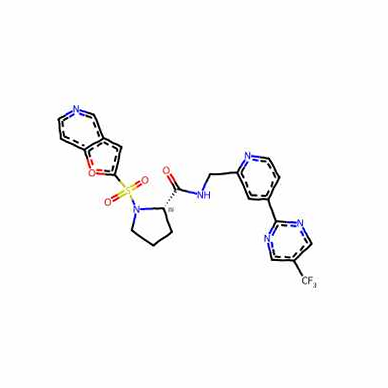 O=C(NCc1cc(-c2ncc(C(F)(F)F)cn2)ccn1)[C@@H]1CCCN1S(=O)(=O)c1cc2cnccc2o1